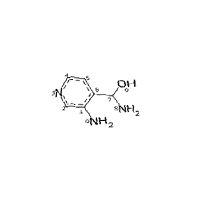 Nc1cnccc1C(N)O